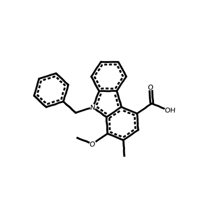 COc1c(C)cc(C(=O)O)c2c3ccccc3n(Cc3ccccc3)c12